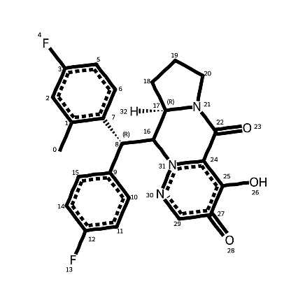 Cc1cc(F)ccc1[C@@H](c1ccc(F)cc1)C1[C@H]2CCCN2C(=O)c2c(O)c(=O)cnn21